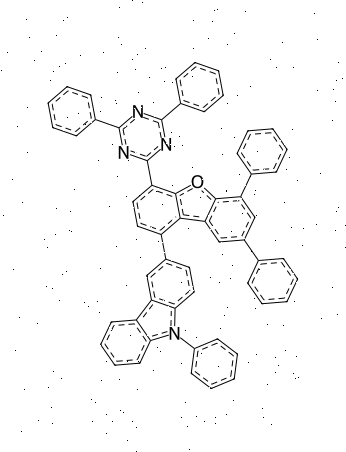 c1ccc(-c2cc(-c3ccccc3)c3oc4c(-c5nc(-c6ccccc6)nc(-c6ccccc6)n5)ccc(-c5ccc6c(c5)c5ccccc5n6-c5ccccc5)c4c3c2)cc1